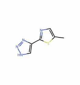 Cc1cnc(-c2c[nH]nn2)s1